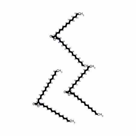 CCCCCCCCCCCCCC/C=C1\OC(=O)C1CCCCCCCCCCCCCC.CCCCCCCCCCCCCC/C=C1\OC(=O)C1CCCCCCCCCCCCCCCC.CCCCCCCCCCCCCCCC/C=C1\OC(=O)C1CCCCCCCCCCCCCC